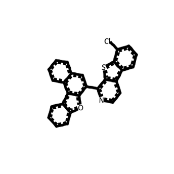 Clc1cccc2c1sc1c(-c3cc4ccccc4c4c3oc3ccccc34)nccc12